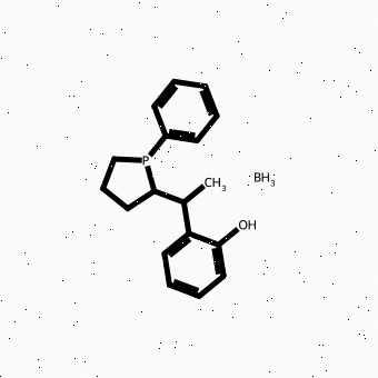 B.CC(c1ccccc1O)C1CCCP1c1ccccc1